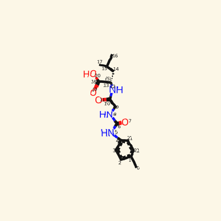 Cc1ccc(NC(=O)NCC(=O)N[C@@H](CC(C)C)C(=O)O)cc1